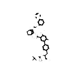 COc1cc(F)c(-c2ccc(CC(NC(=O)OC(C)(C)C)C(=O)O)cc2)cc1C(=O)N[C@@H]1[C@H]2CC[C@H](C2)[C@@H]1C(=O)Nc1cccc(S(=O)(=O)C(F)(F)F)c1